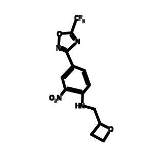 O=[N+]([O-])c1cc(-c2noc(C(F)(F)F)n2)ccc1NCC1CCO1